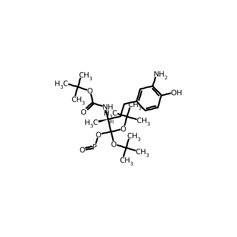 CC(C)(C)OC(=O)N[C@](C)(CCc1ccc(O)c(N)c1)C(OP=O)(OC(C)(C)C)OC(C)(C)C